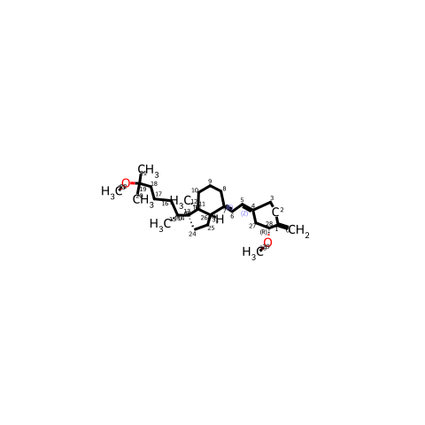 C=C1CC/C(=C/C=C2\CCC[C@]3(C)[C@@H]([C@H](C)CCCC(C)(C)OC)CC[C@@H]23)C[C@H]1OC